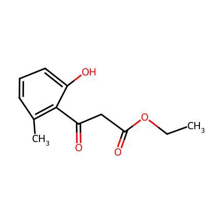 CCOC(=O)CC(=O)c1c(C)cccc1O